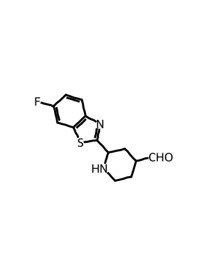 O=CC1CCNC(c2nc3ccc(F)cc3s2)C1